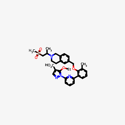 CCOc1c(C(=O)O)cnn1-c1cccc(-c2cccc(C)c2OCc2ccc3c(c2)CCN(C(C)CS(C)(=O)=O)C3)n1